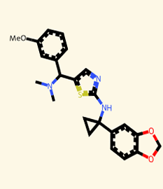 COc1cccc(C(c2cnc(NC3(c4ccc5c(c4)OCO5)CC3)s2)N(C)C)c1